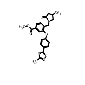 COC(=O)c1ccc(CN2CC(C)CC2=O)c(Oc2ccc(-c3nnc(C)s3)cc2)c1